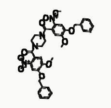 COc1cc(C(=O)N2CCN(C(=O)c3cc(OC)c(OCc4ccccc4)cc3[N+](=O)[O-])CC2)c([N+](=O)[O-])cc1OCc1ccccc1